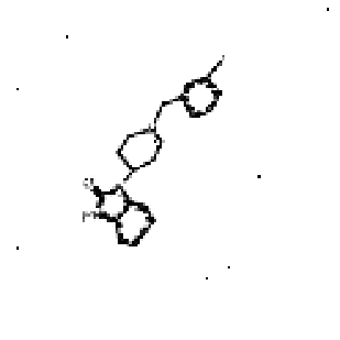 O=c1[nH]c2ccccc2n1C1CCN(Cc2cccc(I)c2)CC1